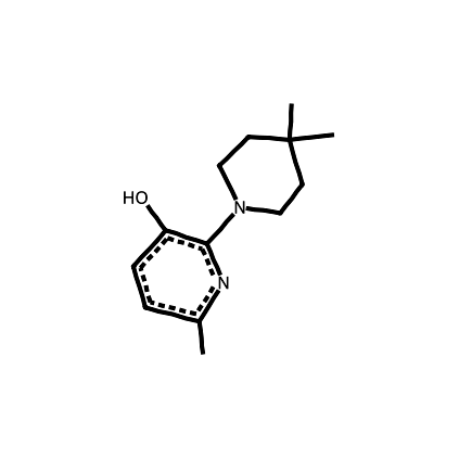 Cc1ccc(O)c(N2CCC(C)(C)CC2)n1